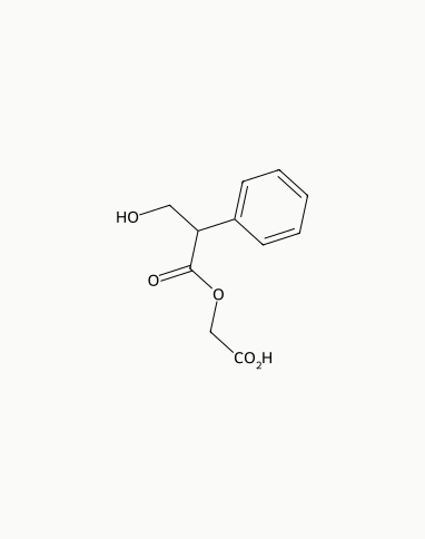 O=C(O)COC(=O)C(CO)c1ccccc1